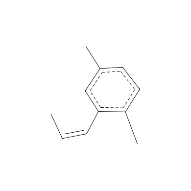 C/C=C\c1cc(C)ccc1C